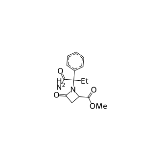 CCC(C(N)=O)(c1ccccc1)N1C(=O)CC1C(=O)OC